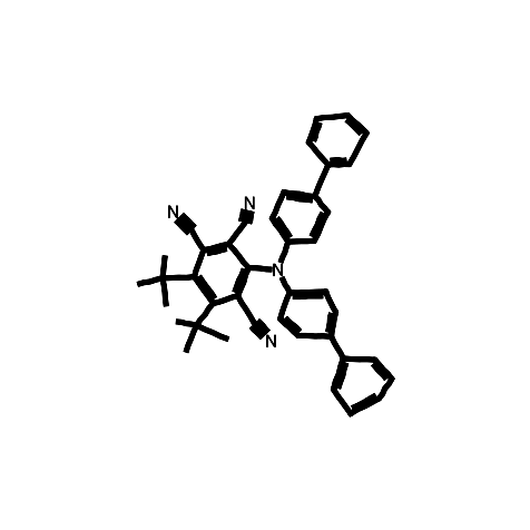 CC(C)(C)c1c(C#N)c(C#N)c(N(c2ccc(-c3ccccc3)cc2)c2ccc(-c3ccccc3)cc2)c(C#N)c1C(C)(C)C